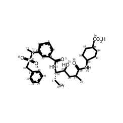 CC(C)C[C@H](NC(=O)c1cccc(N(C)S(=O)(=O)Cc2ccccc2)c1)C(O)CC(C)C(=O)NC1CCC(C(=O)O)CC1